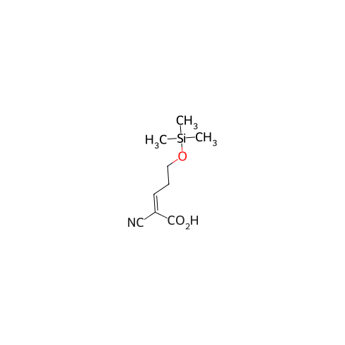 C[Si](C)(C)OCCC=C(C#N)C(=O)O